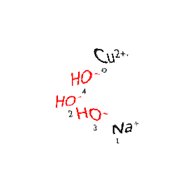 [Cu+2].[Na+].[OH-].[OH-].[OH-]